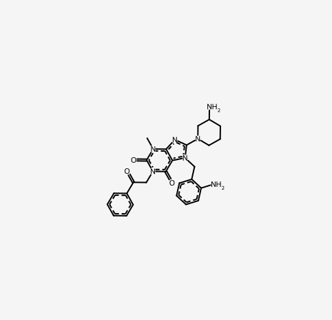 Cn1c(=O)n(CC(=O)c2ccccc2)c(=O)c2c1nc(N1CCCC(N)C1)n2Cc1ccccc1N